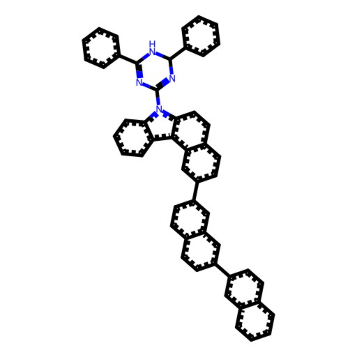 c1ccc(C2=NC(n3c4ccccc4c4c5cc(-c6ccc7ccc(-c8ccc9ccccc9c8)cc7c6)ccc5ccc43)=NC(c3ccccc3)N2)cc1